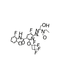 CCN(C=O)/C(CO)=N\N(C)c1nc(OC2CC(F)(F)C2(F)F)c(C(=O)Nc2c(F)cccc2Cl)cc1F